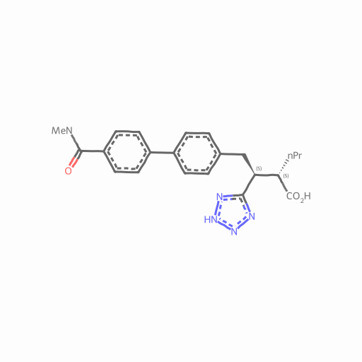 CCC[C@H](C(=O)O)[C@H](Cc1ccc(-c2ccc(C(=O)NC)cc2)cc1)c1nn[nH]n1